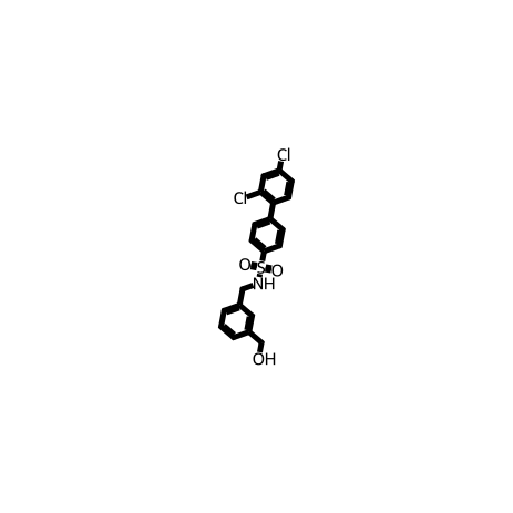 O=S(=O)(NCc1cccc(CO)c1)c1ccc(-c2ccc(Cl)cc2Cl)cc1